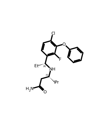 CC[C@@H](N[C@@H](CC(N)=O)C(C)C)c1ccc(Cl)c(Oc2ccccc2)c1F